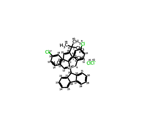 CC1=[C]([Zr+2](=[CH]c2ccc(Cl)cc2)(=[CH]c2ccc(Cl)cc2)[CH]2c3ccccc3-c3ccccc32)C(C)C=C1C(C)(C)C.[Cl-].[Cl-]